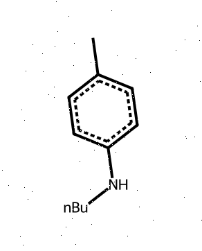 CCCCNc1ccc(C)cc1